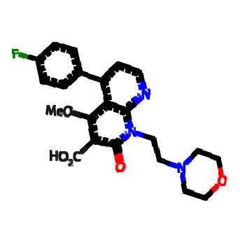 COc1c(C(=O)O)c(=O)n(CCN2CCOCC2)c2nccc(-c3ccc(F)cc3)c12